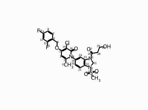 Cc1cc(OCc2ccc(F)cc2F)c(Cl)c(=O)n1-c1ccc2c(c1)N(C(=O)CCO)CN2S(C)(=O)=O